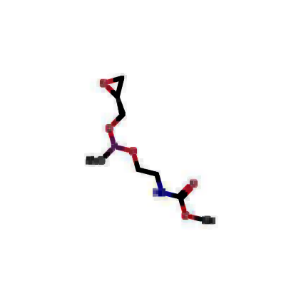 COP(OCCNC(=O)OC(C)(C)C)OC[C@@H]1CO1